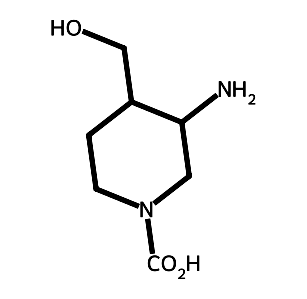 NC1CN(C(=O)O)CCC1CO